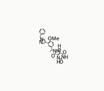 COc1ccc(C(C)NC(=O)c2[nH]c(=O)[nH]c(=O)c2O)cc1-c1cnn(Cc2ccccc2)c1